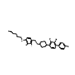 CCCCCCOc1ccc(CCC2CCC(c3ccc(-c4ccc(C)cc4)c(F)c3F)CC2)c(F)c1F